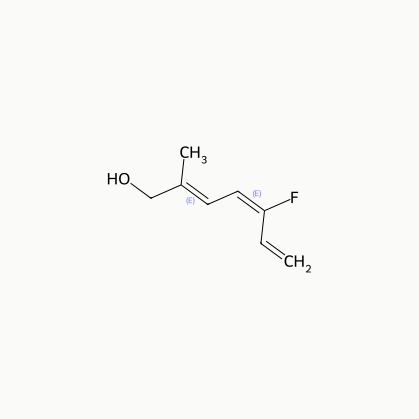 C=C/C(F)=C\C=C(/C)CO